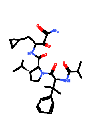 CC(C)C(=O)N[C@H](C(=O)N1CC[C@H](C(C)C)[C@H]1C(=O)NC(CC1CC1)C(=O)C(N)=O)C(C)(C)c1ccccc1